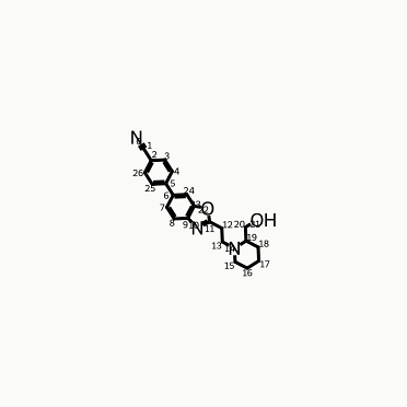 N#Cc1ccc(-c2ccc3nc(CCN4CCCCC4CO)oc3c2)cc1